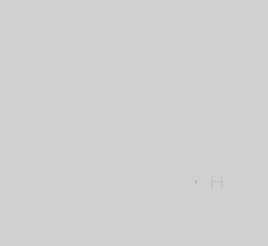 OC1CCC2=C1C=CC2